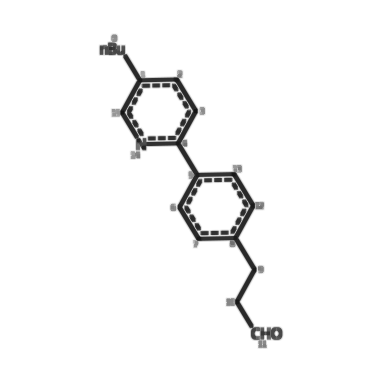 CCCCc1ccc(-c2ccc(CCC=O)cc2)nc1